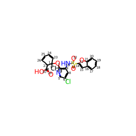 CC1(Oc2ncc(Cl)cc2NS(=O)(=O)c2cc3ccccc3o2)C=CC=CC1C(=O)O